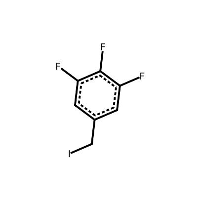 Fc1cc(CI)cc(F)c1F